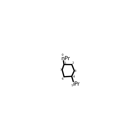 [CH2]CCC1CCC(C(C)C)CC1